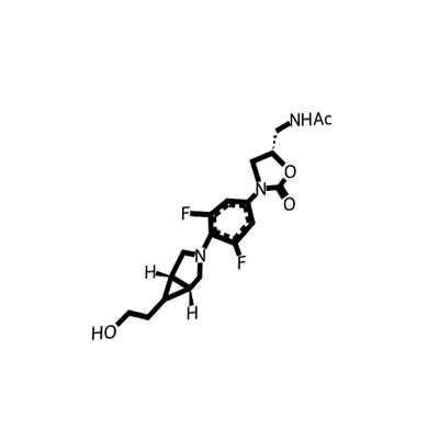 CC(=O)NC[C@H]1CN(c2cc(F)c(N3C[C@@H]4C(CCO)[C@@H]4C3)c(F)c2)C(=O)O1